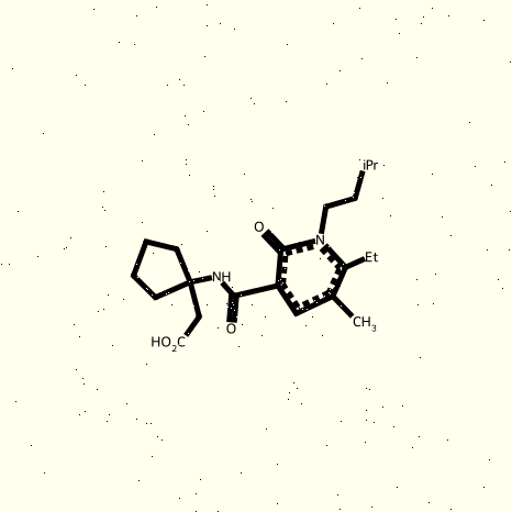 CCc1c(C)cc(C(=O)NC2(CC(=O)O)CCCC2)c(=O)n1CCC(C)C